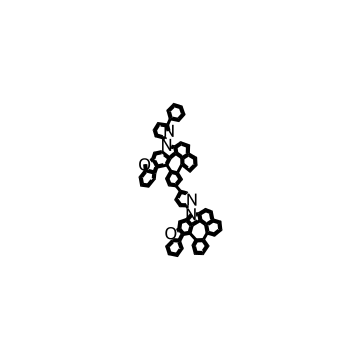 c1ccc(-c2cccc(-n3c4cc5oc6ccccc6c5c5c4c4c6c(cccc6ccc43)-c3cc(-c4ccc(-n6c7cc8oc9ccccc9c8c8c7c7c9c(cccc9ccc76)-c6ccccc6-8)nc4)ccc3-5)n2)cc1